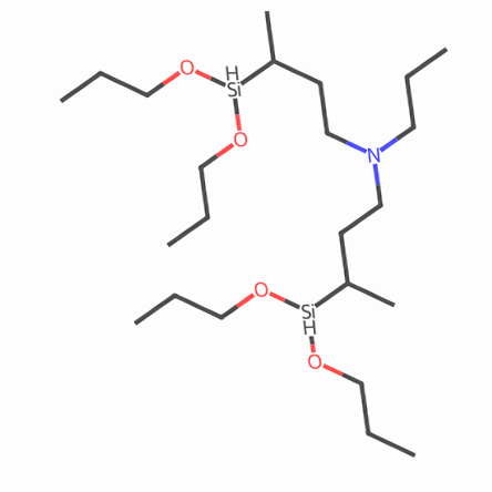 CCCO[SiH](OCCC)C(C)CCN(CCC)CCC(C)[SiH](OCCC)OCCC